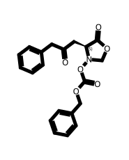 O=C(Cc1ccccc1)C[C@H]1C(=O)OCN1OC(=O)OCc1ccccc1